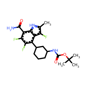 Cc1[nH]c2c(C(N)=O)c(F)c(F)c(C3CCCC(NC(=O)OC(C)(C)C)C3)c2c1F